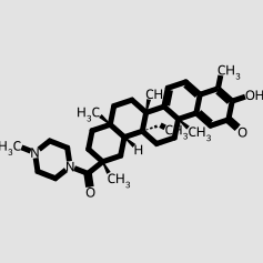 CC[C@@]12CC[C@@]3(C)C4=CC(=O)C(O)=C(C)C4=CC=C3[C@@]1(C)CC[C@@]1(C)CC[C@@](C)(C(=O)N3CCN(C)CC3)C[C@H]12